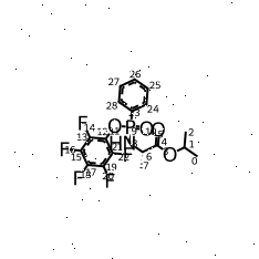 CC(C)OC(=O)[C@H](C)N[P@@](=O)(Oc1c(F)c(F)c(F)c(F)c1F)c1ccccc1